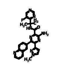 Cn1ccc(-c2nc(N)c(C(=O)NC(C)(C)c3ncncc3F)nc2-c2ccc3ncccc3c2)n1